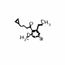 C/C=C/c1cc(Br)cc(OC)c1C(=O)CCCC1CC1